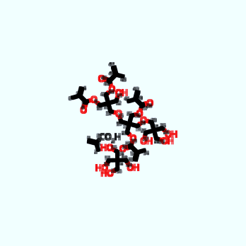 C=C(C)C(=O)O.C=C(C)C(=O)OCC(CO)(COCC(COCC(CO)(CO)CO)(COC(=O)C(=C)C)COC(=O)C(=C)C)COC(=O)C(=C)C.OCC(CO)(CO)CO